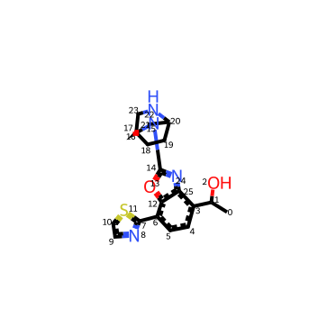 CC(O)c1ccc(-c2nccs2)c2oc(N3CC4CCC(C3)NC4)nc12